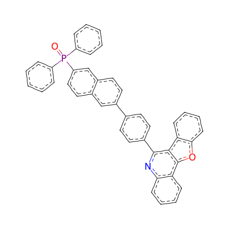 O=P(c1ccccc1)(c1ccccc1)c1ccc2cc(-c3ccc(-c4nc5ccccc5c5oc6ccccc6c45)cc3)ccc2c1